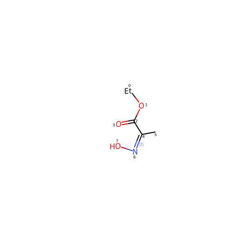 CCOC(=O)/C(C)=N\O